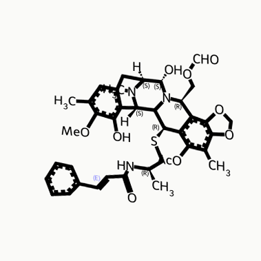 COc1c(C)cc2c(c1O)[C@H]1C3[C@H](SC[C@@H](C)NC(=O)/C=C/c4ccccc4)c4c(OC(C)=O)c(C)c5c(c4[C@H](COC=O)N3[C@@H](O)[C@H](C2)N1C)OCO5